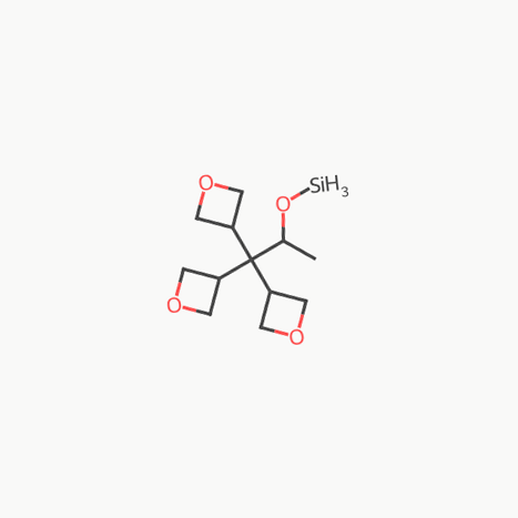 CC(O[SiH3])C(C1COC1)(C1COC1)C1COC1